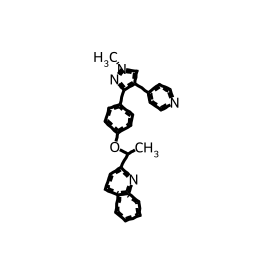 CC(Oc1ccc(-c2nn(C)cc2-c2ccncc2)cc1)c1ccc2ccccc2n1